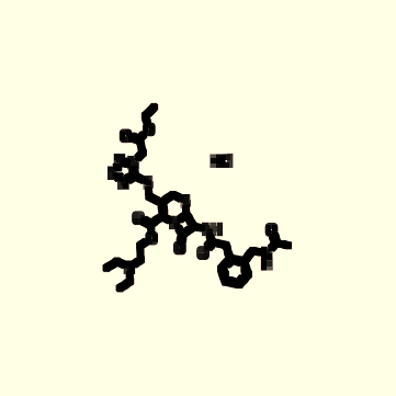 CCOC(=O)Cn1nnnc1SCC1=C(C(=O)OCCN(CC)CC)N2C(=O)C(NC(=O)Cc3ccccc3CNC(C)=O)C2SC1.Cl